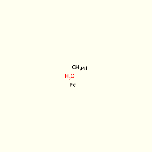 C.O.[Pd].[Pd]